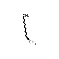 CC#CCCCCCCCCCC